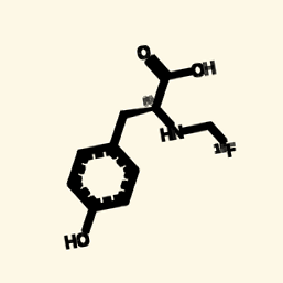 O=C(O)[C@H](Cc1ccc(O)cc1)NC[18F]